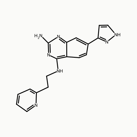 Nc1nc(NCCc2ccccn2)c2ccc(-c3cc[nH]n3)cc2n1